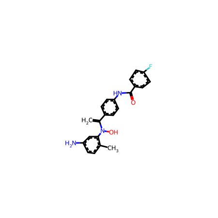 C=C(c1ccc(NC(=O)c2ccc(F)cc2)cc1)N(O)c1cc(N)ccc1C